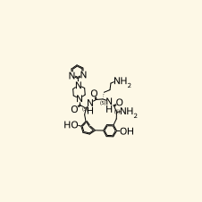 NCCC[C@@H]1NC(=O)[C@@H](N)Cc2cc(ccc2O)-c2ccc(O)c(c2)C[C@@H](C(=O)N2CCN(c3ncccn3)CC2)NC1=O